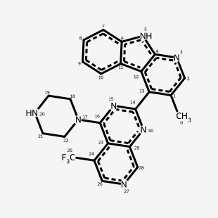 Cc1cnc2[nH]c3ccccc3c2c1-c1nc(N2CCNCC2)c2c(C(F)(F)F)cncc2n1